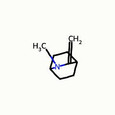 C=C1C2CCC(CC2)N1C